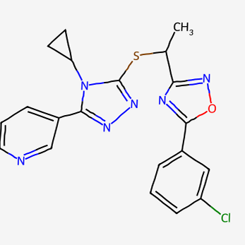 CC(Sc1nnc(-c2cccnc2)n1C1CC1)c1noc(-c2cccc(Cl)c2)n1